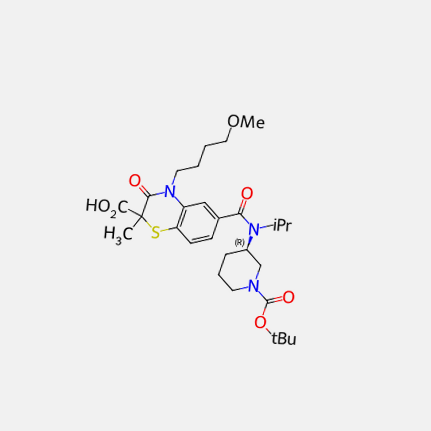 COCCCCN1C(=O)C(C)(C(=O)O)Sc2ccc(C(=O)N(C(C)C)[C@@H]3CCCN(C(=O)OC(C)(C)C)C3)cc21